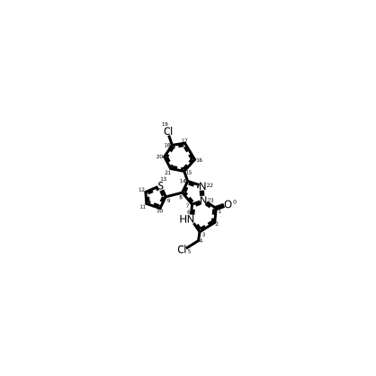 O=c1cc(CCl)[nH]c2c(-c3cccs3)c(-c3ccc(Cl)cc3)nn12